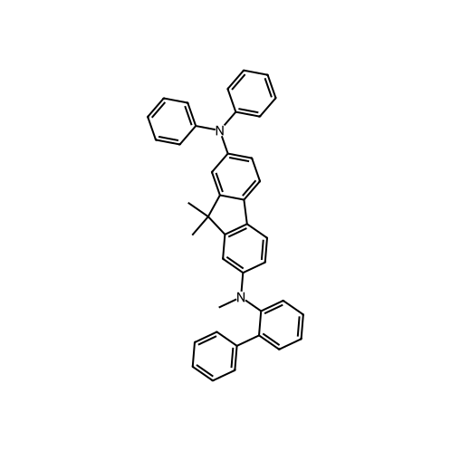 CN(c1ccc2c(c1)C(C)(C)c1cc(N(c3ccccc3)c3ccccc3)ccc1-2)c1ccccc1-c1ccccc1